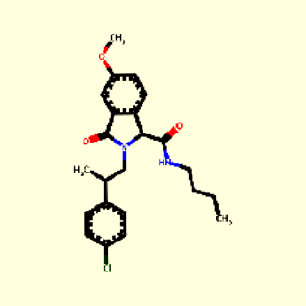 CCCCNC(=O)C1c2ccc(OC)cc2C(=O)N1CC(C)c1ccc(Cl)cc1